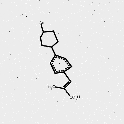 CC(=O)C1CCC(c2ccc(C=C(C)C(=O)O)cc2)CC1